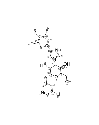 OCC1O[C@H](Sc2cncc(Cl)c2)C(O)C(n2cc(-c3cc(F)c(F)c(F)c3)nn2)[C@H]1O